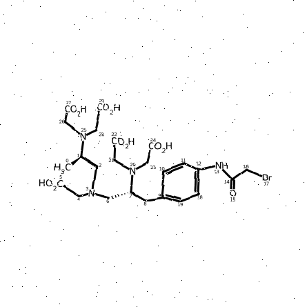 C[C@H](CN(CC(=O)O)C[C@@H](Cc1ccc(NC(=O)CBr)cc1)N(CC(=O)O)CC(=O)O)N(CC(=O)O)CC(=O)O